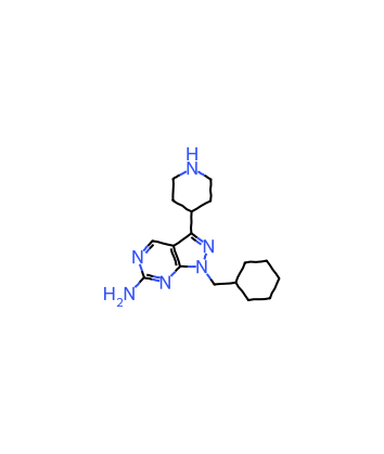 Nc1ncc2c(C3CCNCC3)nn(CC3CCCCC3)c2n1